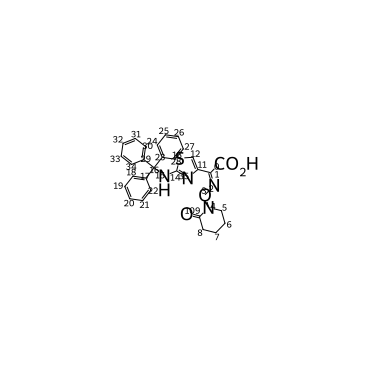 O=C(O)C(=NON1CCCCC1=O)c1csc(NC(c2ccccc2)(c2ccccc2)c2ccccc2)n1